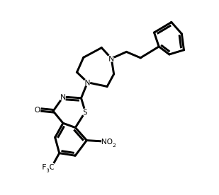 O=c1nc(N2CCCN(CCc3ccccc3)CC2)sc2c([N+](=O)[O-])cc(C(F)(F)F)cc12